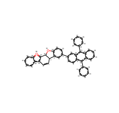 C1=CC2c3cc(-c4ccc5c(-c6ccccc6)c6ccccc6c(-c6ccccc6)c5c4)ccc3OC2c2oc3ccccc3c21